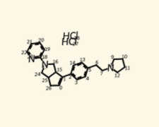 C1=C(c2ccc(CCN3CCCC3)cc2)C2CN(c3ccccn3)CC2C1.Cl.Cl